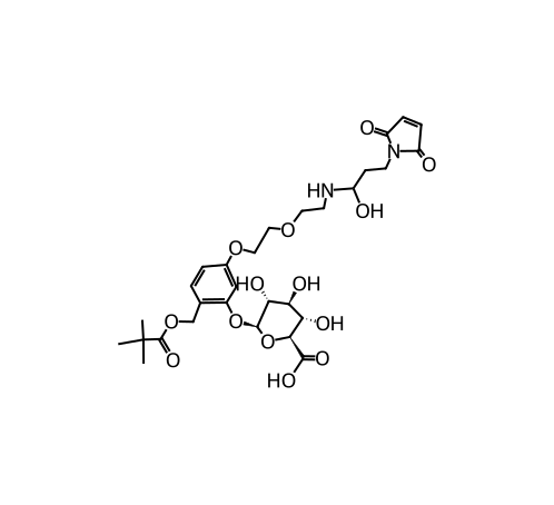 CC(C)(C)C(=O)OCc1ccc(OCCOCCNC(O)CCN2C(=O)C=CC2=O)cc1O[C@@H]1O[C@H](C(=O)O)[C@@H](O)[C@H](O)[C@H]1O